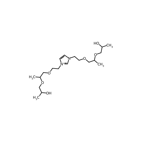 CC(O)COC(C)COCCn1cc[n+](CCOCC(C)OCC(C)O)c1